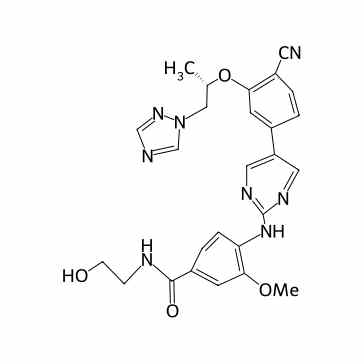 COc1cc(C(=O)NCCO)ccc1Nc1ncc(-c2ccc(C#N)c(O[C@@H](C)Cn3cncn3)c2)cn1